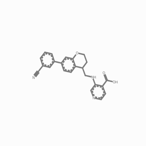 N#Cc1cccc(-c2ccc3c(c2)OCCC3CNc2cnccc2C(=O)O)c1